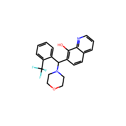 Oc1c(C(c2ccccc2C(F)(F)F)N2CCOCC2)ccc2cccnc12